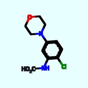 O=C(O)Nc1cc(N2CCOCC2)ccc1Cl